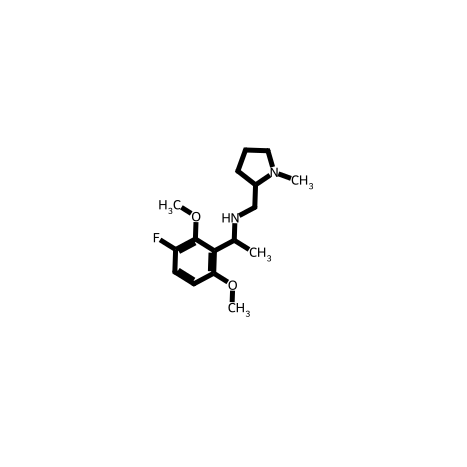 COc1ccc(F)c(OC)c1C(C)NCC1CCCN1C